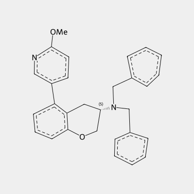 COc1ccc(-c2cccc3c2C[C@H](N(Cc2ccccc2)Cc2ccccc2)CO3)cn1